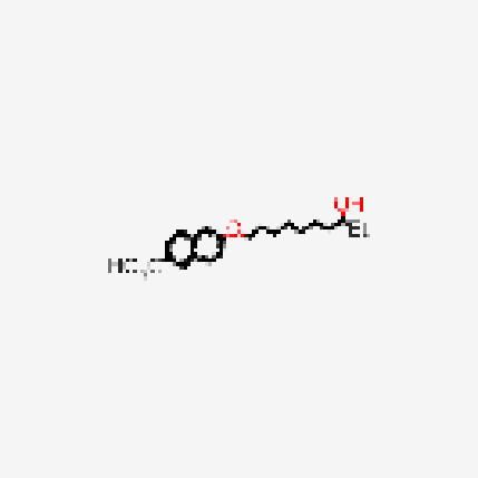 CCC(O)CCCCCCCOc1ccc2cc(C(=O)O)ccc2c1